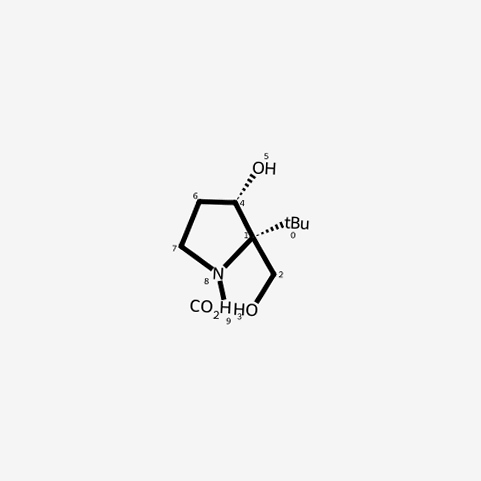 CC(C)(C)[C@@]1(CO)[C@@H](O)CCN1C(=O)O